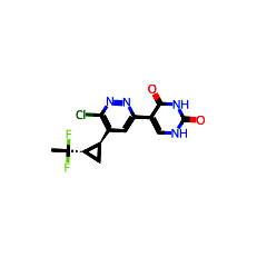 CC(F)(F)[C@H]1C[C@@H]1c1cc(-c2c[nH]c(=O)[nH]c2=O)nnc1Cl